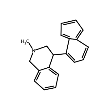 CN1Cc2ccccc2C(c2cccc3ccccc23)C1